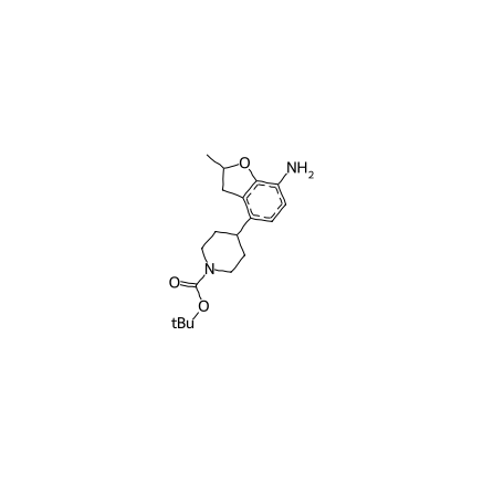 CC1Cc2c(C3CCN(C(=O)OC(C)(C)C)CC3)ccc(N)c2O1